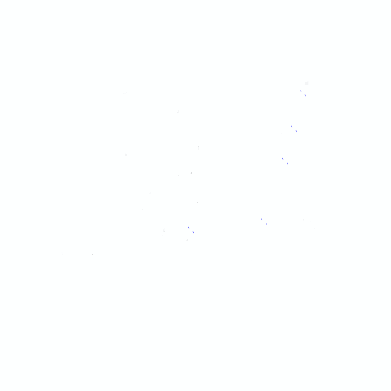 CCOC(=O)N1CCN(c2ccc(C)cc2Cl)C(c2ccc(C)cc2)C1CN=[N+]=[N-]